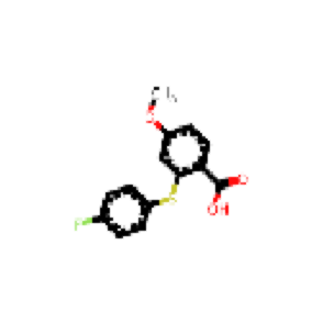 COc1ccc(C(=O)O)c(Sc2ccc(F)cc2)c1